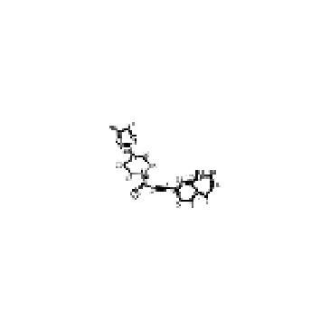 O=C(C#Cc1ccc2cccnc2c1)N1CCN(c2nccs2)CC1